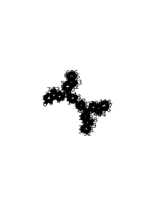 Cc1ccc2c(c1)-c1ccc(N(c3ccc(-c4ccc(N(c5ccc6c(c5)C(C)(C)c5ccccc5-6)c5ccc6c(c5)C(C)(C)c5ccccc5-6)cc4)cc3)c3ccc4c(c3)C(C)(C)c3ccccc3-4)cc1C2(C)C